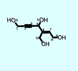 OCC#CC(O)C(=CCO)CO